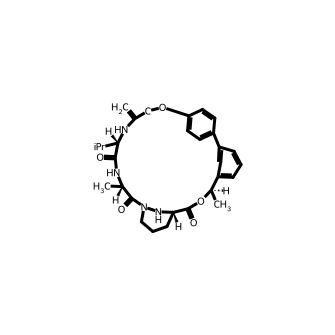 C=C1COc2ccc(cc2)-c2cccc(c2)[C@@H](C)OC(=O)[C@@H]2CCCN(N2)C(=O)[C@H](C)NC(=O)[C@H](C(C)C)N1